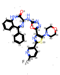 O=C1Nc2ccccc2C(c2ccccc2)=N[C@@H]1Nc1nnc(-c2nc(-c3ccc(C(F)(F)F)nc3)sc2N2CCOCC2)o1